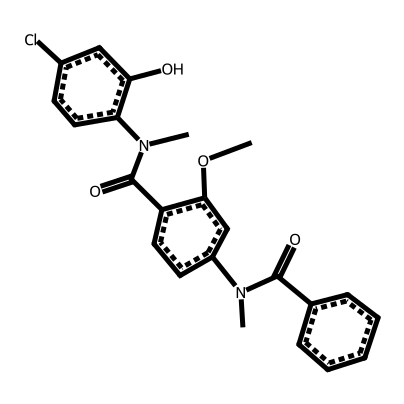 COc1cc(N(C)C(=O)c2ccccc2)ccc1C(=O)N(C)c1ccc(Cl)cc1O